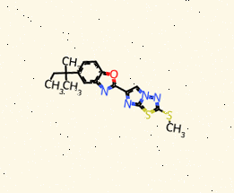 CCC(C)(C)c1ccc2oc(-c3cn4nc(SC)sc4n3)nc2c1